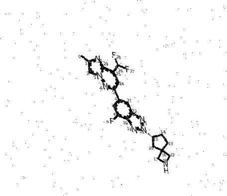 Cc1cn2nc(-c3cc(F)c4nn([C@@H]5CCC6(CNC6)C5)nc4c3)cc(C(F)F)c2n1